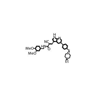 CCN1CCN(Sc2ccc(-c3cnc4[nH]cc(/C=C(\C#N)C(=O)NCc5ccc(OC)c(OC)c5)c4c3)cc2)CC1